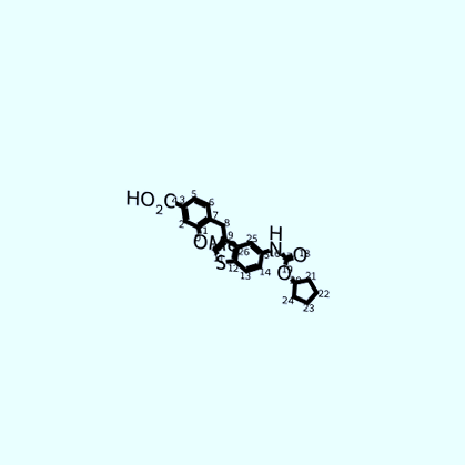 COc1cc(C(=O)O)ccc1Cc1csc2ccc(NC(=O)OC3CCCC3)cc12